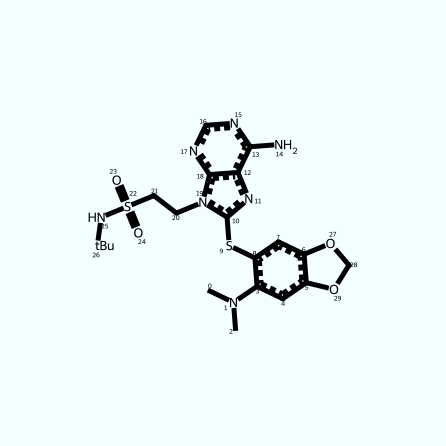 CN(C)c1cc2c(cc1Sc1nc3c(N)ncnc3n1CCS(=O)(=O)NC(C)(C)C)OCO2